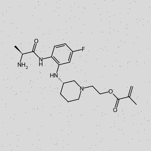 C=C(C)C(=O)OCCN1CCC[C@H](Nc2cc(F)ccc2NC(=O)[C@H](C)N)C1